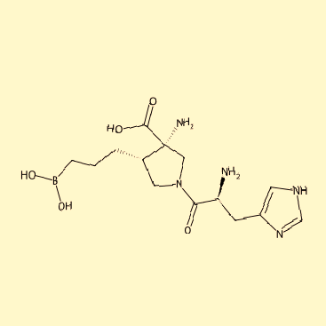 N[C@@H](Cc1c[nH]cn1)C(=O)N1C[C@H](CCCB(O)O)[C@@](N)(C(=O)O)C1